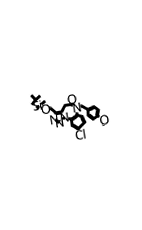 COc1ccc(CN2C(=O)Cc3c(CO[Si](C)(C)C(C)(C)C)nnn3-c3cc(Cl)ccc32)cc1